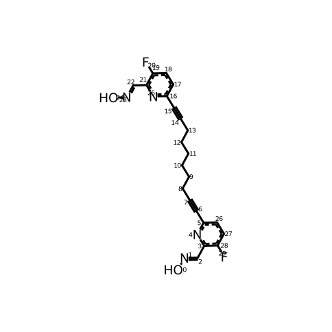 ON=Cc1nc(C#CCCCCCCC#Cc2ccc(F)c(C=NO)n2)ccc1F